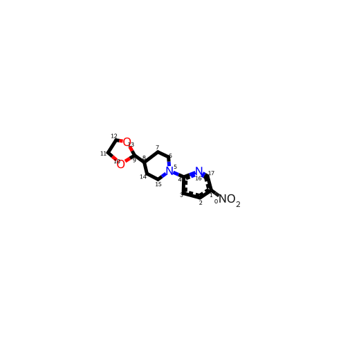 O=[N+]([O-])c1ccc(N2CCC(C3OCCO3)CC2)nc1